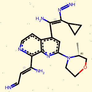 C[C@@H]1COCCN1c1cc(/C(N)=C(/N=N)C2CC2)c2ccnc(/C(N)=C/C=N)c2n1